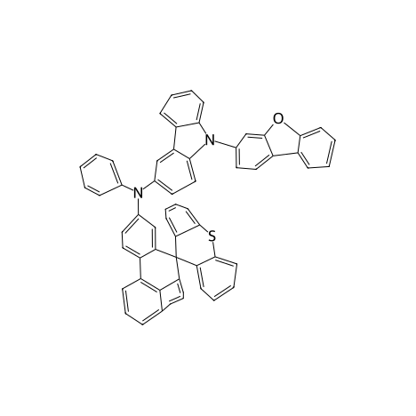 c1ccc(N(c2ccc3c(c2)C2(c4ccccc4Sc4ccccc42)c2cccc4cccc-3c24)c2ccc3c(c2)c2ccccc2n3-c2ccc3c(c2)oc2ccccc23)cc1